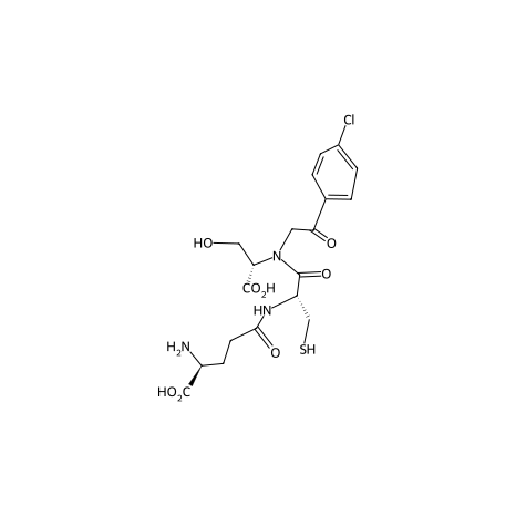 N[C@@H](CCC(=O)N[C@@H](CS)C(=O)N(CC(=O)c1ccc(Cl)cc1)[C@@H](CO)C(=O)O)C(=O)O